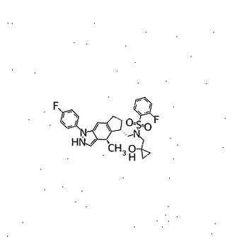 C[C@H]1C2=CNN(c3ccc(F)cc3)C2=CC2=C1[C@@H](CN(CC1(O)CC1)S(=O)(=O)c1ccccc1F)CC2